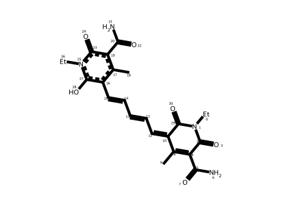 CCN1C(=O)C(C(N)=O)=C(C)/C(=C/C=CC=Cc2c(C)c(C(N)=O)c(=O)n(CC)c2O)C1=O